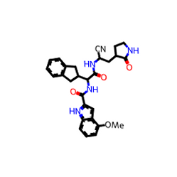 COc1cccc2[nH]c(C(=O)NC(C(=O)NC(C#N)CC3CCNC3=O)C3Cc4ccccc4C3)cc12